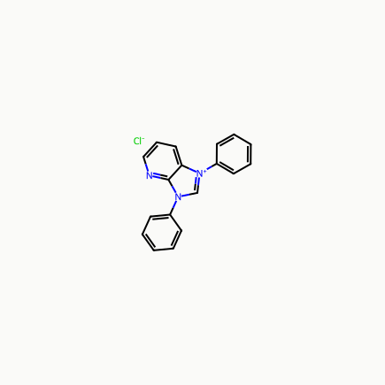 [Cl-].c1ccc(-n2c[n+](-c3ccccc3)c3cccnc32)cc1